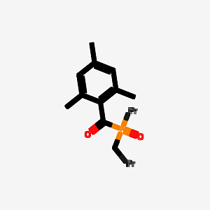 Cc1cc(C)c(C(=O)P(=O)(CC(C)C)C(C)C)c(C)c1